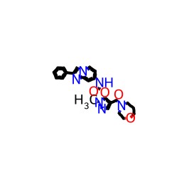 Cn1ncc(C(=O)N2CCCOCC2)c1OC(=O)Nc1ccn2cc(-c3ccccc3)nc2c1